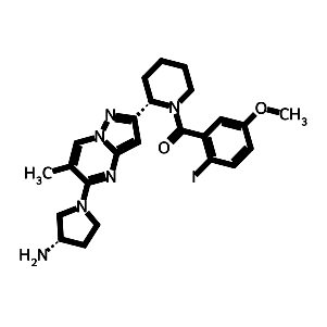 COc1ccc(I)c(C(=O)N2CCCC[C@H]2c2cc3nc(N4CC[C@H](N)C4)c(C)cn3n2)c1